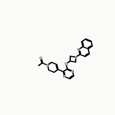 CC(=O)N1CC=C(c2nccnc2OC2CN(c3ccc4ccccc4n3)C2)CC1